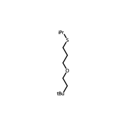 CC(C)SCCCOCCC(C)(C)C